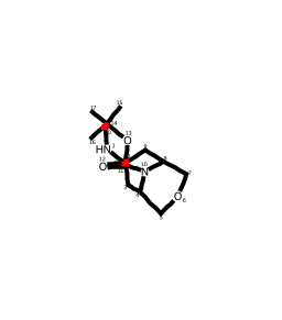 CNC1CC2COCC(C1)N2C(=O)OC(C)(C)C